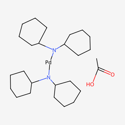 C1CCC([N]([Pd][N](C2CCCCC2)C2CCCCC2)C2CCCCC2)CC1.CC(=O)O